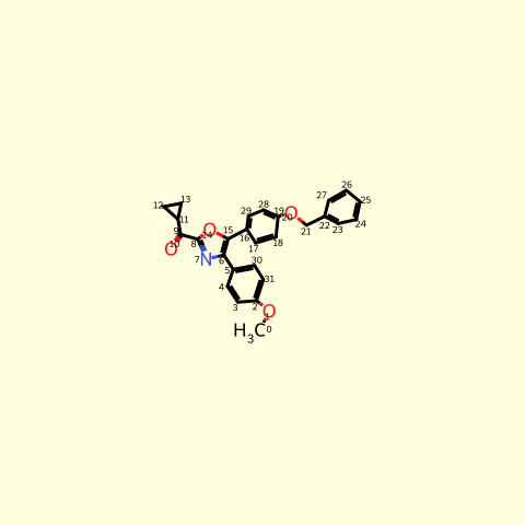 COc1ccc(-c2nc(C(=O)C3CC3)oc2-c2ccc(OCc3ccccc3)cc2)cc1